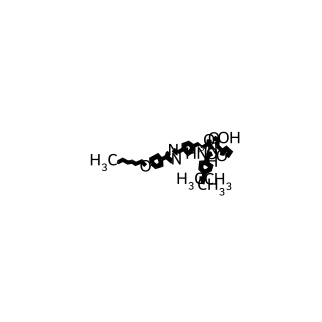 CCCCCCCOc1ccc(-c2cnc(-c3ccc(C[C@H](NC(=O)c4ccc(C(C)(C)C)cc4)C(=O)NC(C(=O)O)c4ccco4)cc3)nc2)cc1